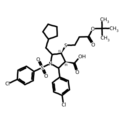 CC(C)(C)OC(=O)CCS[C@@H]1C(CC2CCCC2)N(S(=O)(=O)c2ccc(Cl)cc2)C(c2ccc(Cl)cc2)[C@@H]1C(=O)O